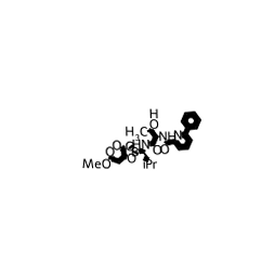 COC(=O)CC1OB([C@H](CC(C)C)NC(=O)[C@@H](NC(=O)c2cccc(-c3ccccc3)n2)[C@@H](C)O)OC1=O